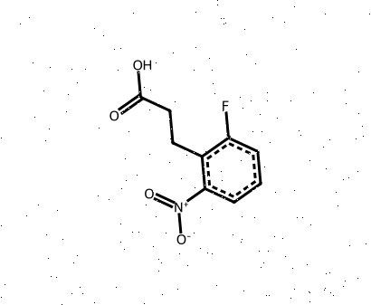 O=C(O)CCc1c(F)cccc1[N+](=O)[O-]